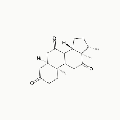 C[C@H]1CC[C@H]2C3C(=O)C[C@@H]4CC(=O)CC[C@]4(C)C3CC(=O)[C@]12C